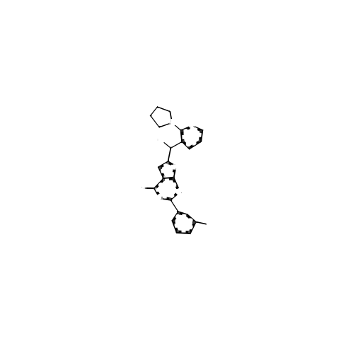 Cc1cccc(-c2nc(N)c3cc(C(O)c4cccnc4N4CCCC4)sc3n2)c1